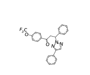 O=C(CC(c1ccccc1)n1ncc(-c2ccccc2)n1)c1ccc(OC(F)(F)F)cc1